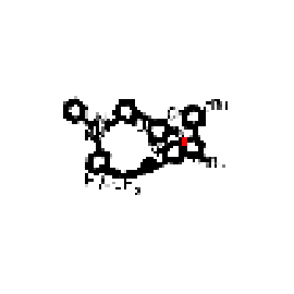 CC(C)(C)c1ccc2c(c1)c1cc(C(C)(C)C)ccc1n2-c1cc2c3oc4c(cccc4c3c1C#N)-c1nc(-c3ccccc3)nc(n1)-c1cccc(c1)C(C)(C)c1ccc3c(c1)c1cc(C(C)(C)C)ccc1n3-2